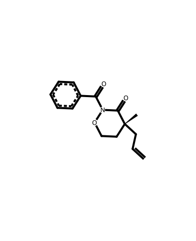 C=CC[C@]1(C)CCON(C(=O)c2ccccc2)C1=O